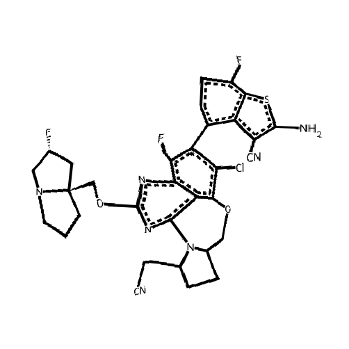 N#CCC1CCC2COc3c(Cl)c(-c4ccc(F)c5sc(N)c(C#N)c45)c(F)c4nc(OC[C@@]56CCCN5C[C@H](F)C6)nc(c34)N12